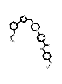 CCOc1cccc(-c2csc(CN3CCN(c4ccc(C(=O)Nc5ccc(OC)cc5)nn4)CC3)c2)c1